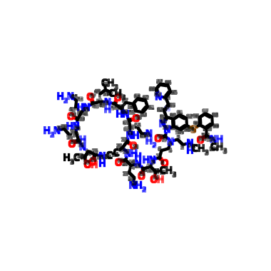 CNCCN(CCC(=O)N[C@H](C(=O)N[C@@H](CCN)C(=O)N[C@H]1CCNC(=O)[C@H]([C@@H](C)O)NC(=O)[C@H](CCN)NC(=O)[C@H](CCN)NC(=O)[C@H](CC(C)C)NC(=O)[C@@H](Cc2ccccc2)NC(=O)[C@H](CCN)NC1=O)[C@@H](C)O)C(=O)n1nc(/C=C/c2ccccn2)c2ccc(Sc3ccccc3C(=O)NC)cc21